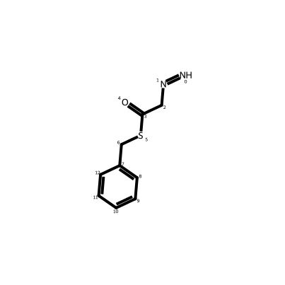 N=NCC(=O)SCc1ccccc1